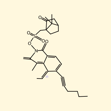 C=c1c(C)c2/c(=C\C)c(C#CCCCC)ccc2c(=O)n1OS(=O)(=O)CC12CCC(CC1=O)C2(C)C